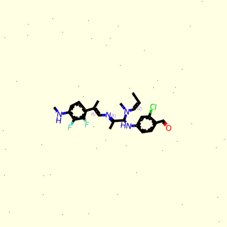 C/C=C\N(C)C(Nc1ccc(C=O)c(Cl)c1)/C(C)=N/C=C(\C)c1ccc(NC)c(F)c1F